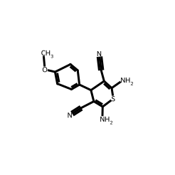 COc1ccc(C2C(C#N)=C(N)SC(N)=C2C#N)cc1